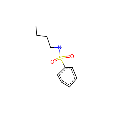 CCCC[N]S(=O)(=O)c1ccccc1